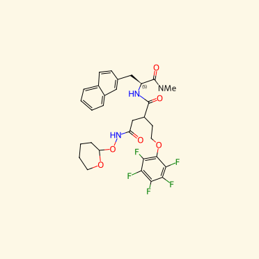 CNC(=O)[C@H](Cc1ccc2ccccc2c1)NC(=O)C(CCOc1c(F)c(F)c(F)c(F)c1F)CC(=O)NOC1CCCCO1